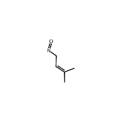 CC(C)=CCN=O